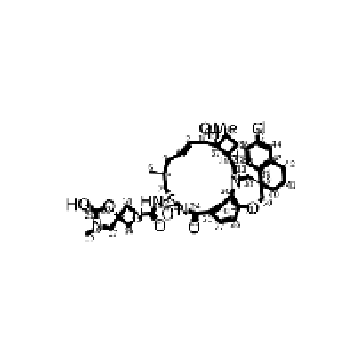 CO[C@H]1/C=C/C[C@H](C)C[S@@](=O)(NC(=O)N2CC3(C2)CN(C)C(O)O3)=NC(=O)c2ccc3c(c2)N(C[C@@H]2CC[C@H]21)C[C@@]1(CCCc2cc(Cl)ccc21)CO3